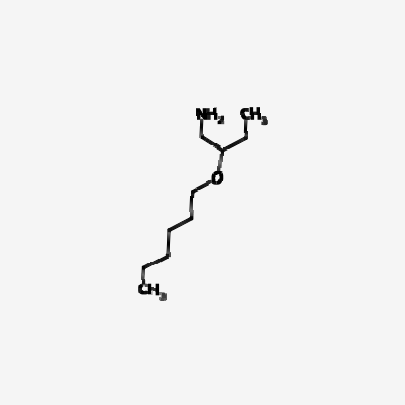 CCCCCCOC(CC)CN